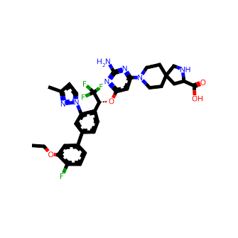 CCOc1cc(-c2ccc([C@@H](Oc3cc(N4CCC5(CC4)CNC(C(=O)O)C5)nc(N)n3)C(F)(F)F)c(-n3ccc(C)n3)c2)ccc1F